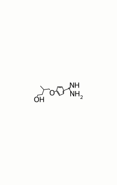 CC(CCO)COc1ccc(C(=N)N)cc1